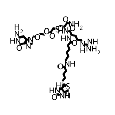 N=C(N)NCCCC(NC(=O)CCCCCNC(=O)CCCC[C@@H]1SC[C@@H]2NC(=O)N[C@@H]21)C(=O)N[C@@H](CSCC(=O)OCCOCn1cnc2c(=O)[nH]c(N)cc21)C(N)=O